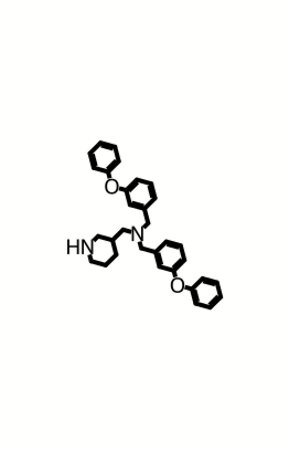 c1ccc(Oc2cccc(CN(Cc3cccc(Oc4ccccc4)c3)CC3CCCNC3)c2)cc1